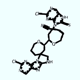 N#CC1(n2c(=S)[nH]c3cnc(Cl)nc32)CCCOC(C2CC3(CCCO2)CNc2nc4cnc(Cl)nc4n23)C1